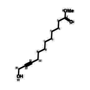 COC(=O)CCCCCCCCC#CCO